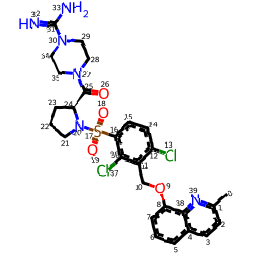 Cc1ccc2cccc(OCc3c(Cl)ccc(S(=O)(=O)N4CCC[C@H]4C(=O)N4CCN(C(=N)N)CC4)c3Cl)c2n1